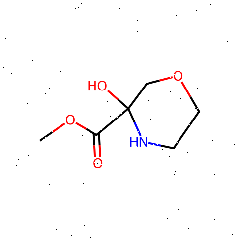 COC(=O)C1(O)COCCN1